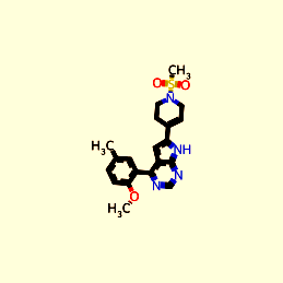 COc1ccc(C)cc1-c1ncnc2[nH]c(C3=CCN(S(C)(=O)=O)CC3)cc12